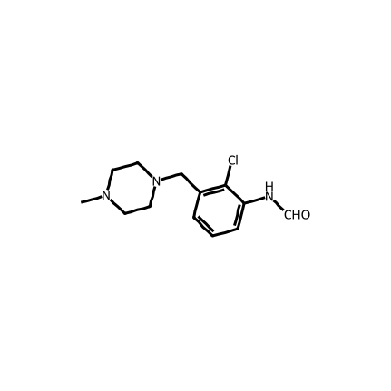 CN1CCN(Cc2cccc(NC=O)c2Cl)CC1